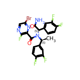 C[C@@H](c1ccc(F)c(F)c1)N(C(=O)c1nc(Br)cnc1F)[C@H](C(N)=O)c1ccc(F)c(F)c1